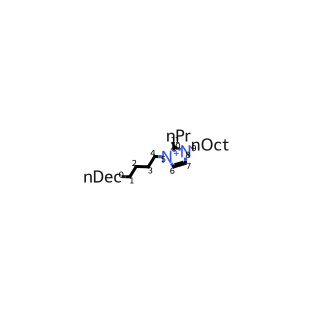 CCCCCCCCCCCCCC[n+]1ccn(CCCCCCCC)c1CCC